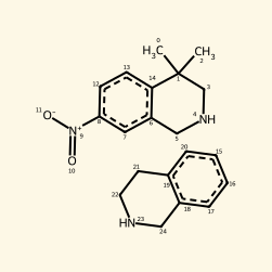 CC1(C)CNCc2cc([N+](=O)[O-])ccc21.c1ccc2c(c1)CCNC2